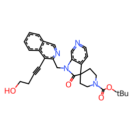 CC(C)(C)OC(=O)N1CCC2(CC1)C(=O)N(Cc1ncc3ccccc3c1C#CCCO)c1cnccc12